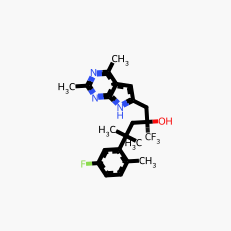 Cc1nc(C)c2cc(CC(O)(CC(C)(C)c3cc(F)ccc3C)C(F)(F)F)[nH]c2n1